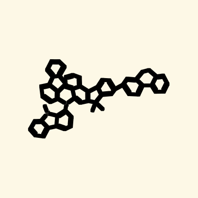 Cn1c2ccccc2c2cccc(N(c3cc4c(c5ccccc35)-c3ccc(-c5ccc6c(c5)CCc5ccccc5-6)cc3C4(C)C)c3cccc4c3sc3ccccc34)c21